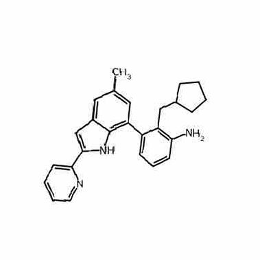 Cc1cc(-c2cccc(N)c2CC2CCCC2)c2[nH]c(-c3ccccn3)cc2c1